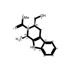 CSC(=S)N1[C@@H](CO)Cc2c([nH]c3ccccc23)[C@H]1C